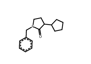 O=C1C(C2CCCC2)CCN1Cc1ccccc1